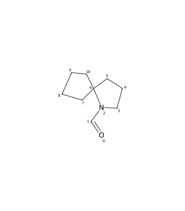 O=[C]N1CCCC12CCCC2